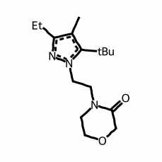 CCc1nn(CCN2CCOCC2=O)c(C(C)(C)C)c1C